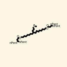 CCCCCC(CCCCC)CC(=O)OCCCCCCCCC(CCCCCCCCOC(=O)CC(CCCCC)CCCCC)CCCN(C)C